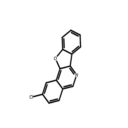 Clc1ccc2cnc3c4ccccc4oc3c2c1